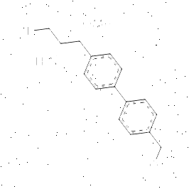 CO[C@H](c1ccc(-c2ccc(CO)cc2)cc1)[C@H](N)CF